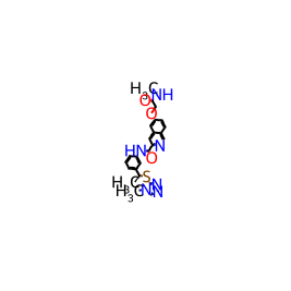 CNC(=O)COc1ccc2cnc(C(=O)Nc3cccc([C@H](C)Sc4nncn4C)c3)cc2c1